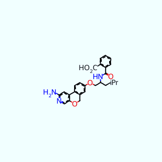 CC(C)CC(COc1ccc2c(c1)COc1cnc(N)cc1-2)NC(=O)c1ccccc1C(=O)O